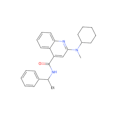 CCC(NC(=O)c1cc(N(C)C2CCCCC2)nc2ccccc12)c1ccccc1